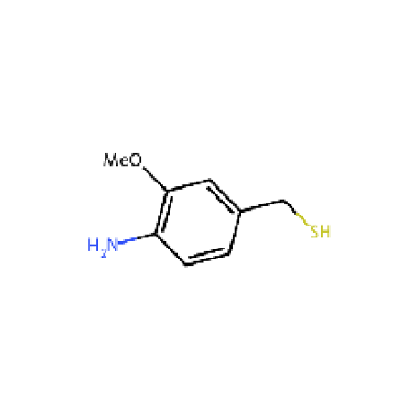 COc1cc(CS)ccc1N